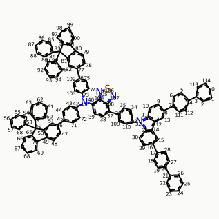 c1ccc(-c2ccc(-c3ccc4c(c3)c3cc(-c5ccc(-c6ccccc6)cc5)ccc3n4-c3ccc(-c4ccc(N(c5ccc(-c6ccc7c(c6)C(c6ccccc6)(c6ccccc6)c6ccccc6-7)cc5)c5ccc(-c6ccc7c(c6)C(c6ccccc6)(c6ccccc6)c6ccccc6-7)cc5)c5nsnc45)cc3)cc2)cc1